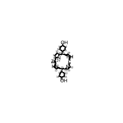 Oc1ccc(-c2c3nc(cc4ccc([nH]4)c(-c4ccc(O)cc4)c4nc(cc5ccc2[nH]5)C=C4)C=C3)cc1.[Zn+2]